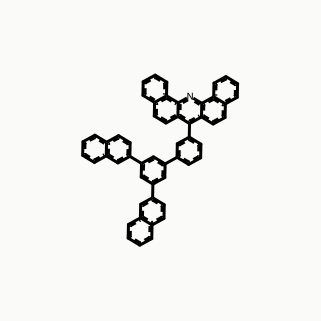 c1cc(-c2cc(-c3ccc4ccccc4c3)cc(-c3ccc4ccccc4c3)c2)cc(-c2c3ccc4ccccc4c3nc3c2ccc2ccccc23)c1